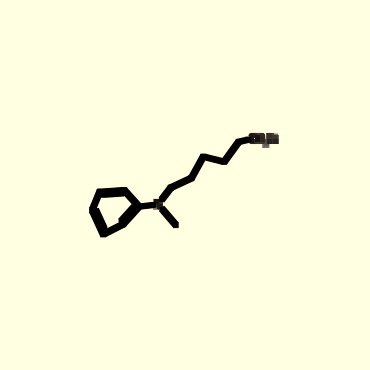 CCOC(=O)CCCCCN(C)c1ccccc1